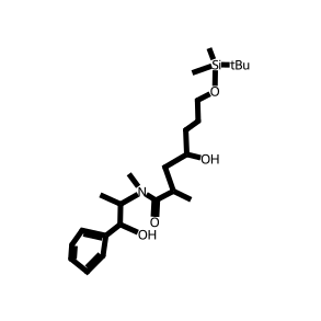 CC(CC(O)CCCO[Si](C)(C)C(C)(C)C)C(=O)N(C)C(C)C(O)c1ccccc1